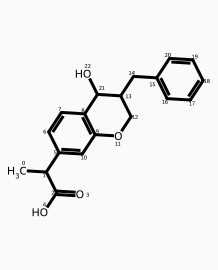 CC(C(=O)O)c1ccc2c(c1)OCC(Cc1ccccc1)C2O